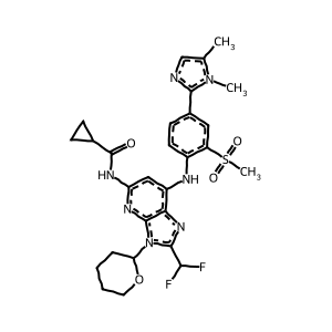 Cc1cnc(-c2ccc(Nc3cc(NC(=O)C4CC4)nc4c3nc(C(F)F)n4C3CCCCO3)c(S(C)(=O)=O)c2)n1C